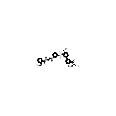 CCOc1ccc(-c2cccc(C(=O)N(C)C)c2)cc1[S+]([O-])Nc1cccc(NCCNC(=O)c2ccccc2OC)c1